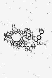 CC[C@H]1OC(=O)[C@H](C)[C@@H](C2C[C@@](C)(OC)[C@@H](O)[C@H](C)O2)[C@H](C)[C@@H](O[C@@H]2O[C@H](C)C[C@H](N(C)CCc3cn([C@H](CF)[C@H](OC)c4ccc(-c5cccnc5)cc4)nn3)[C@H]2O)[C@](C)(OC)C[C@@H](C)C(=O)[C@H](C)[C@@H](O)[C@]1(C)O